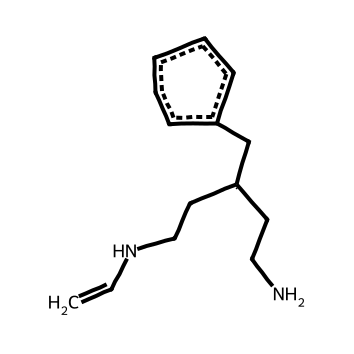 C=CNCC[C](CCN)Cc1ccccc1